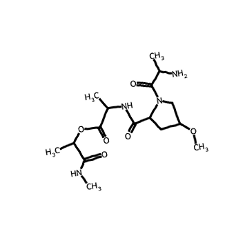 CNC(=O)C(C)OC(=O)C(C)NC(=O)C1CC(OC)CN1C(=O)C(C)N